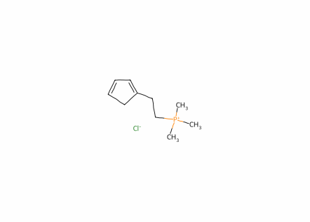 C[P+](C)(C)CCC1=CC=CC1.[Cl-]